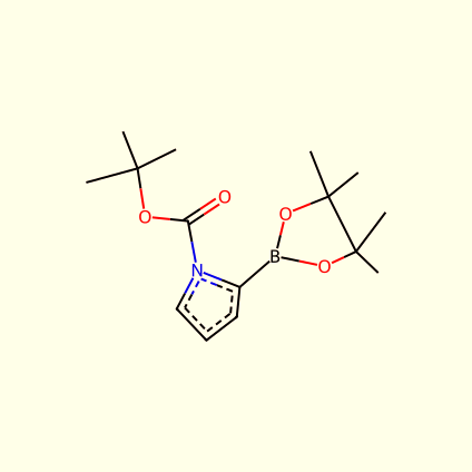 CC(C)(C)OC(=O)n1cccc1B1OC(C)(C)C(C)(C)O1